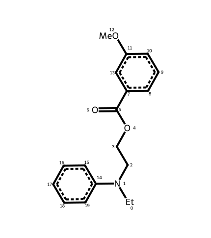 CCN(CCOC(=O)c1cccc(OC)c1)c1ccccc1